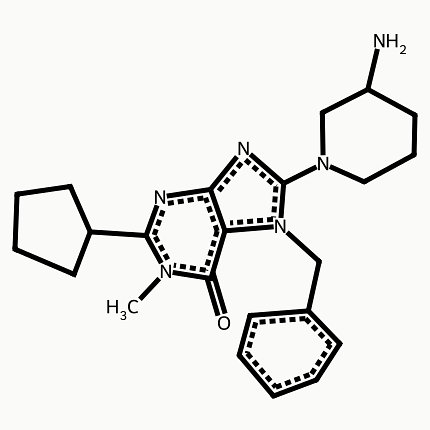 Cn1c(C2CCCC2)nc2nc(N3CCCC(N)C3)n(Cc3ccccc3)c2c1=O